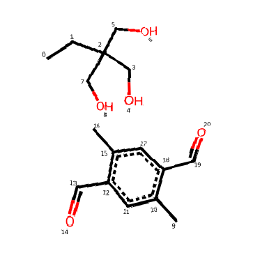 CCC(CO)(CO)CO.Cc1cc(C=O)c(C)cc1C=O